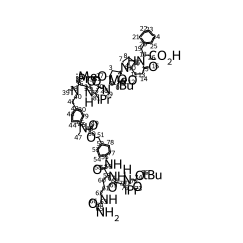 CC[C@H](C)[C@@H]([C@@H](CC(=O)N1CCCC1[C@H](OC)[C@@H](C)C(=O)N[C@@H](Cc1ccccc1)C(=O)O)OC)N(C)C(=O)C(NC(=O)C(C(C)C)N(C)CCc1ccc(N(C)C(=O)OCc2ccc(NC(=O)C(CCCNC(N)=O)NC(=O)C(NC(=O)OC(C)(C)C)C(C)C)cc2)cc1)C(C)C